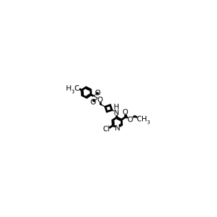 CCOC(=O)c1cnc(Cl)cc1N[C@H]1C[C@H](COS(=O)(=O)c2ccc(C)cc2)C1